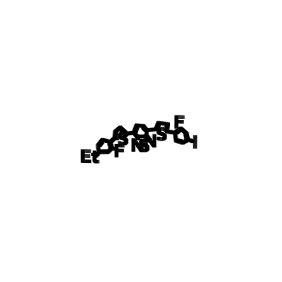 CCc1ccc(-c2ccc(-c3ccc(-c4ccc(-c5ccc(I)cc5F)s4)c4nsnc34)s2)c(F)c1